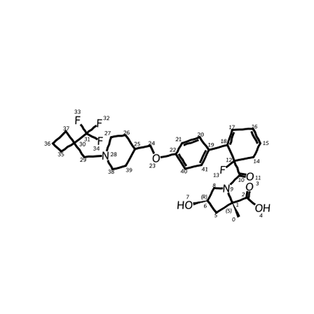 C[C@@]1(C(=O)O)C[C@@H](O)CN1C(=O)C1(F)CC=CC=C1c1ccc(OCC2CCN(CC3(C(F)(F)F)CCC3)CC2)cc1